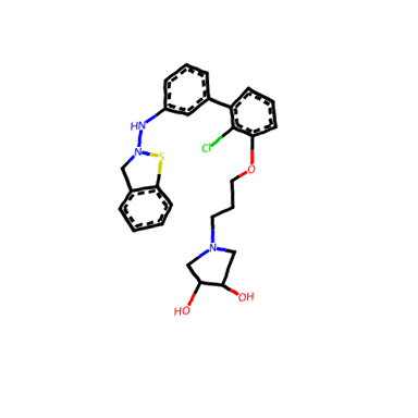 OC1CN(CCCOc2cccc(-c3cccc(NN4Cc5ccccc5S4)c3)c2Cl)CC1O